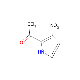 O=C(c1[nH]ccc1[N+](=O)[O-])C(Cl)(Cl)Cl